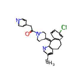 Bc1cnc2c(c1)CCc1cc(Cl)ccc1C2=C1CCN(C(=O)Cc2ccncc2)CC1